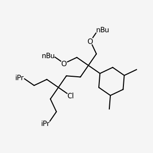 CCCCOCC(CCC(Cl)(CCC(C)C)CCC(C)C)(COCCCC)C1CC(C)CC(C)C1